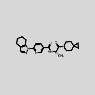 C[C@H](NC(=O)c1ccc(-n2ncc3c2CCCC3)nc1)C(=O)N1CCC2(CC1)CC2